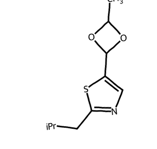 CC(C)Cc1ncc(C2OC(C)O2)s1